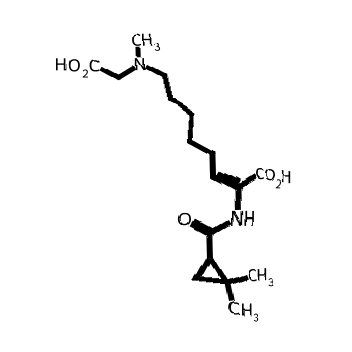 CN(CCCCCC=C(NC(=O)C1CC1(C)C)C(=O)O)CC(=O)O